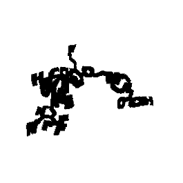 CC1(C)C(=O)N(c2cnc(C#N)c(C(F)(F)F)c2)C(=S)N1c1ccc(OCCN2CCN(CC(=O)O)CC2)c(CCF)c1